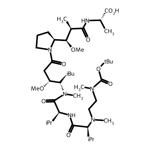 CC[C@H](C)[C@@H]([C@@H](CC(=O)N1CCC[C@H]1[C@H](OC)[C@@H](C)C(=O)N[C@@H](C)C(=O)O)OC)N(C)C(=O)[C@@H](NC(=O)[C@H](C(C)C)N(C)CCN(C)C(=O)OC(C)(C)C)C(C)C